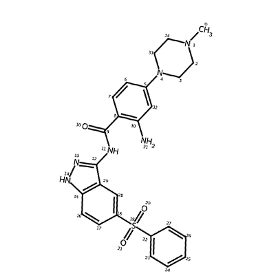 CN1CCN(c2ccc(C(=O)Nc3n[nH]c4ccc(S(=O)(=O)c5ccccc5)cc34)c(N)c2)CC1